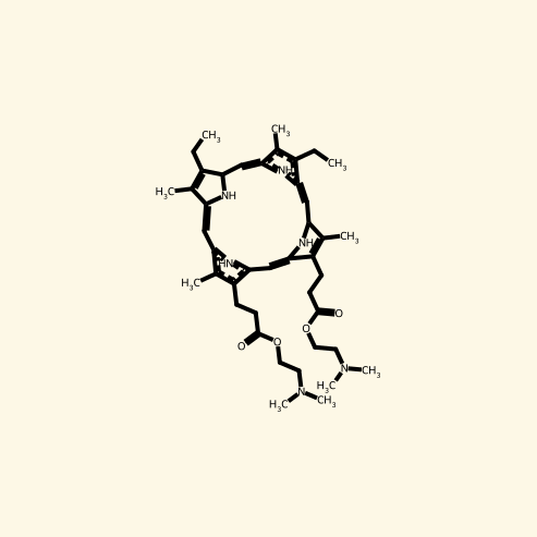 CCC1=C(C)/C2=C/c3[nH]c(c(CCC(=O)OCCN(C)C)c3C)/C=C3\NC(/C=c4\[nH]/c(c(C)c4CC)=C\C1N2)C(C)=C3CCC(=O)OCCN(C)C